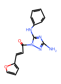 Nc1nc(Nc2ccccc2)n(C(=O)C=Cc2ccco2)n1